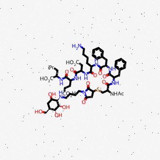 CC(=O)NC(CSC1CC(=O)N(CCCCN[C@H]2C(O)C[C@H](CO)[C@@H](O)[C@@H]2O)C1=O)C(=O)NC(Cc1ccccc1)C(=O)NC(Cc1ccccc1)C(=O)NC(CCCCN)C(=O)NC(CC(=O)O)C(=O)NC(CCC(=O)O)C(=O)NC(CC(C)C)C(=O)O